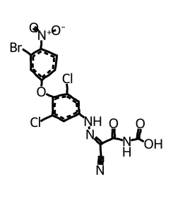 N#CC(=NNc1cc(Cl)c(Oc2ccc([N+](=O)[O-])c(Br)c2)c(Cl)c1)C(=O)NC(=O)O